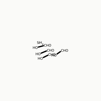 O=CO.O=CO.O=CO.O=CO.[SiH4]